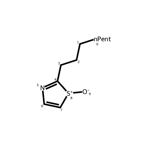 CCCCCCCCc1ncc[s+]1[O-]